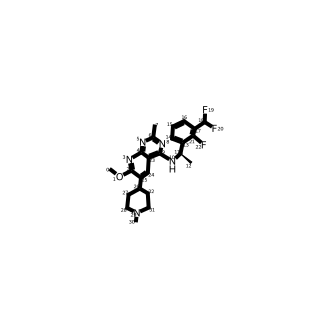 COc1nc2nc(C)nc(N[C@H](C)c3cccc(C(F)F)c3F)c2cc1C1CCN(C)CC1